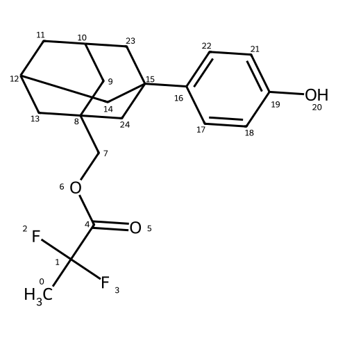 CC(F)(F)C(=O)OCC12CC3CC(C1)CC(c1ccc(O)cc1)(C3)C2